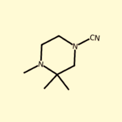 CN1CCN(C#N)CC1(C)C